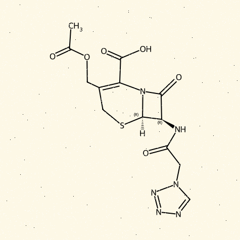 CC(=O)OCC1=C(C(=O)O)N2C(=O)[C@@H](NC(=O)Cn3cnnn3)[C@H]2SC1